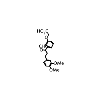 COc1ccc(CCC(OC=O)c2cccc(OCC(=O)O)c2)cc1OC